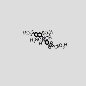 Nc1cc(S(=O)(=O)O)cc2cc(S(=O)(=O)O)c(/N=N/c3ccc(S(=O)(=O)CCOS(=O)(=O)O)cc3O)c(O)c12